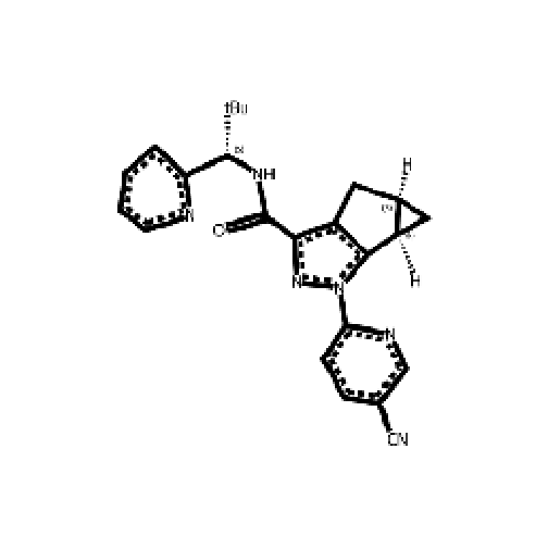 CC(C)(C)[C@H](NC(=O)c1nn(-c2ccc(C#N)cn2)c2c1C[C@H]1C[C@@H]21)c1ccccn1